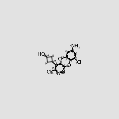 Nc1cc(Cl)c(Oc2cc(C3CC(O)C3)c(Cl)nn2)c(Cl)c1